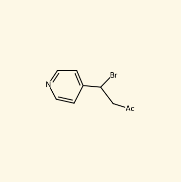 CC(=O)CC(Br)c1ccncc1